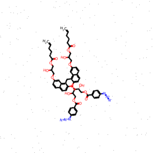 C=CCCCC(=O)OCC(O)COc1ccc2ccc(OCC(O)COC(=O)c3ccc(N=[N+]=[N-])cc3)c(Cc3c(OC[C@H](O)COC(=O)c4ccc(N=[N+]=[N-])cc4)ccc4ccc(OCC(O)COC(=O)CCCC=C)cc34)c2c1